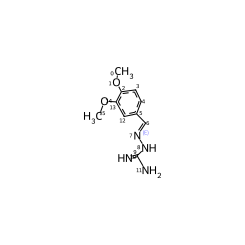 COc1ccc(/C=N/NC(=N)N)cc1OC